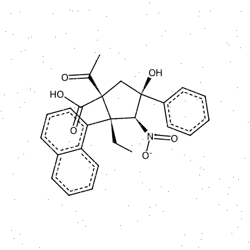 CC[C@]1(c2cccc3ccccc23)[C@H]([N+](=O)[O-])[C@@](O)(c2ccccc2)C[C@@]1(C(C)=O)C(=O)O